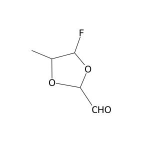 CC1OC(C=O)OC1F